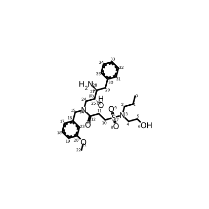 CCCN(CCO)S(=O)(=O)CCC(=O)N(Cc1cccc(OC)c1)C[C@@H](O)[C@@H](N)Cc1ccccc1